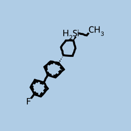 CC[SiH2][C@H]1CC[C@H](c2ccc(-c3ccc(F)cc3)cc2)CC1